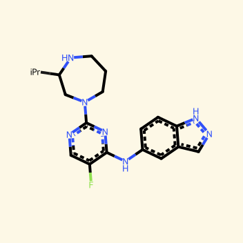 CC(C)C1CN(c2ncc(F)c(Nc3ccc4[nH]ncc4c3)n2)CCCN1